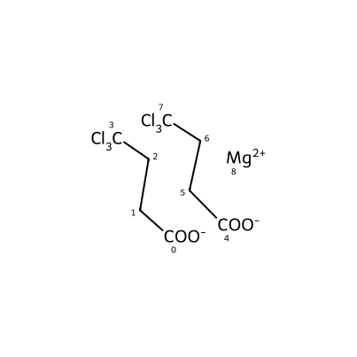 O=C([O-])CCC(Cl)(Cl)Cl.O=C([O-])CCC(Cl)(Cl)Cl.[Mg+2]